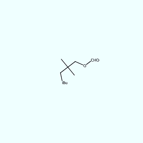 CCC(C)CC(C)(C)CO[C]=O